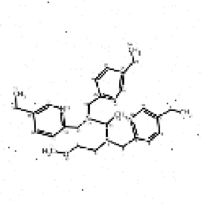 CCc1ccc(CN(CCOC)C(C)N(Cc2ccc(CC)cn2)Cc2ccc(CC)cn2)nc1